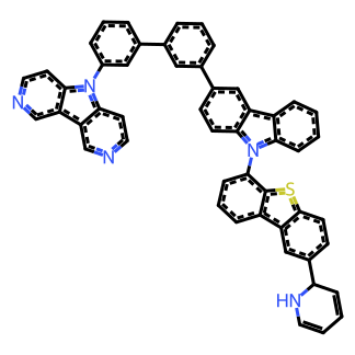 C1=CNC(c2ccc3sc4c(-n5c6ccccc6c6cc(-c7cccc(-c8cccc(-n9c%10ccncc%10c%10cnccc%109)c8)c7)ccc65)cccc4c3c2)C=C1